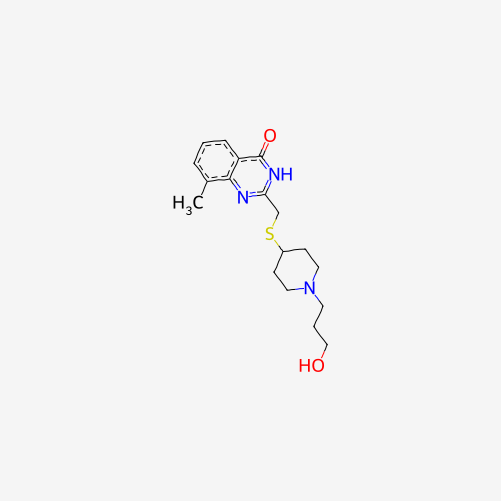 Cc1cccc2c(=O)[nH]c(CSC3CCN(CCCO)CC3)nc12